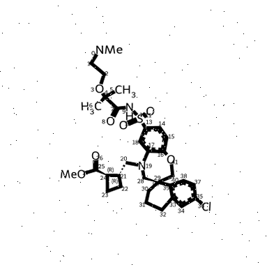 CNCCOC(C)(C)C(=O)NS(=O)(=O)c1ccc2c(c1)N(C[C@@H]1CC[C@H]1C(=O)OC)C[C@@]1(CCCc3cc(Cl)ccc31)CO2